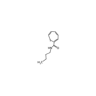 CCCCNC(=O)C1=CC=CC=CS1